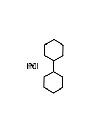 C1CCC(C2CCCCC2)CC1.Cl.[Pd]